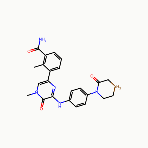 Cc1c(C(N)=O)cccc1-c1cn(C)c(=O)c(Nc2ccc(N3CC[SH2]CC3=O)cc2)n1